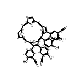 N#Cc1cc(C2=CC3=CC4=NC(=CC5=NC(=CC6=NC(=C(c7ccc(O)c(C#N)c7)C2=N3)C(c2ccc(O)c(C#N)c2)=C6c2ccc(O)c(C#N)c2)C=C5)C=C4)ccc1O